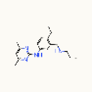 CCCNCc1cc(Nc2nc(C)cc(C)n2)ccc1CC